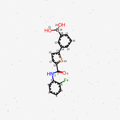 O=C(Nc1ccccc1F)c1ccc(-c2cccc(B(O)O)c2)s1